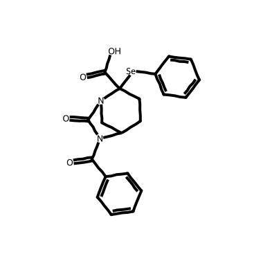 O=C(c1ccccc1)N1C(=O)N2CC1CCC2([Se]c1ccccc1)C(=O)O